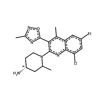 CCc1cc(Cl)c2nc(N3CC[C@@H](N)CC3C)c(-c3nc(C)no3)c(C)c2c1